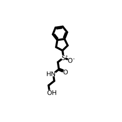 O=C(C[S+]([O-])C1Cc2ccccc2C1)NCCO